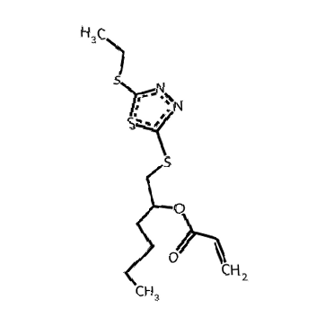 C=CC(=O)OC(CCCC)CSc1nnc(SCC)s1